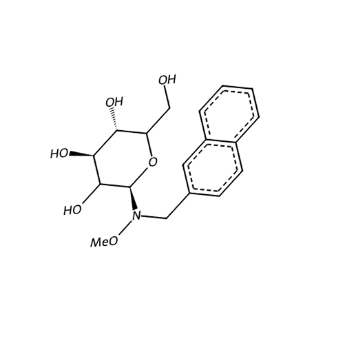 CON(Cc1ccc2ccccc2c1)[C@@H]1OC(CO)[C@@H](O)[C@H](O)C1O